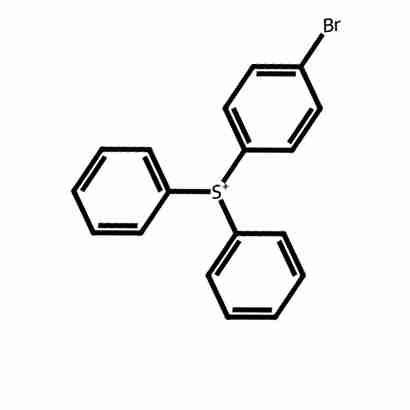 Brc1ccc([S+](c2ccccc2)c2ccccc2)cc1